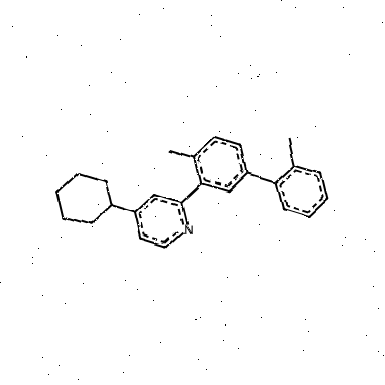 Cc1ccccc1-c1ccc(C)c(-c2cc(C3CCCCC3)ccn2)c1